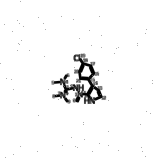 C=[N+](NC(N(C)C)=[N+](C)C)c1[nH]ccc1-c1ccc(Cl)cc1